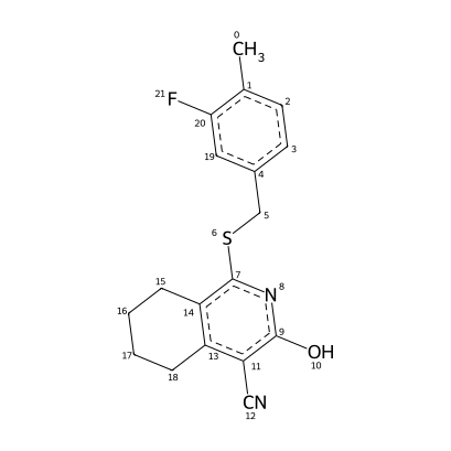 Cc1ccc(CSc2nc(O)c(C#N)c3c2CCCC3)cc1F